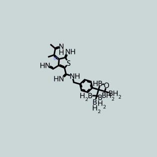 BC(B)(B)C1(c2ccc(CNC(=N)C3=C(C=N)/C(=C(\C)C(C)=N)C(=N)S3)cc2)BOC1(B)B